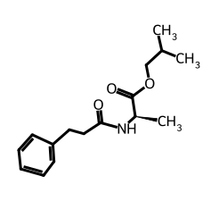 CC(C)COC(=O)[C@@H](C)NC(=O)CCc1ccccc1